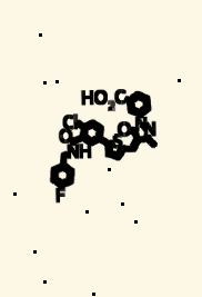 CC1=NN(c2cccc(C(=O)O)c2)C(=O)C1=Cc1ccc(-c2ccc(Cl)c(C(=O)NCc3ccc(F)cc3)c2)s1